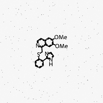 COc1cc2ccnc(CSc3ccccc3-c3ncc[nH]3)c2cc1OC